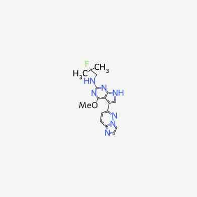 COc1nc(NCC(C)(C)F)nc2[nH]cc(-c3ccc4nccn4n3)c12